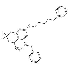 CC1(C)Cc2cc(OCCCCCc3ccccc3)cc(OCc3ccccc3)c2C(C(=O)O)C1